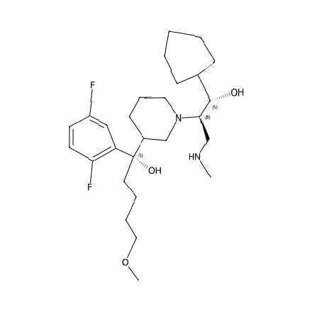 CNC[C@H]([C@@H](O)C1CCCCC1)N1CCCC([C@@](O)(CCCCOC)c2cc(F)ccc2F)C1